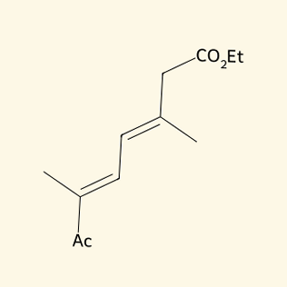 CCOC(=O)C/C(C)=C/C=C(\C)C(C)=O